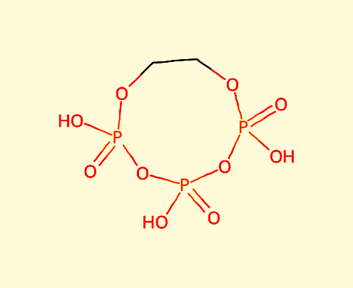 O=P1(O)OCCOP(=O)(O)OP(=O)(O)O1